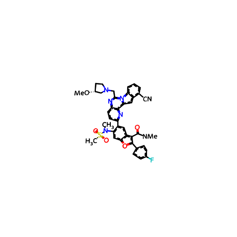 CNC(=O)c1c(-c2ccc(F)cc2)oc2cc(N(C)S(C)(=O)=O)c(-c3ccc4nc(CN5CC[C@@H](OC)C5)n5c6cccc(C#N)c6cc5c4n3)cc12